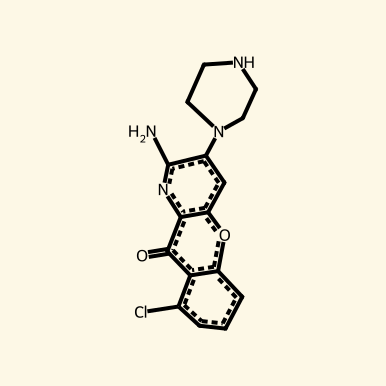 Nc1nc2c(=O)c3c(Cl)cccc3oc2cc1N1CCNCC1